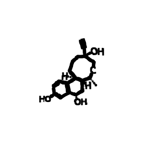 C#C[C@@]1(O)CCC[C@@H]2c3ccc(O)cc3[C@@H](O)C[C@H]2[C@@H](C)CC1